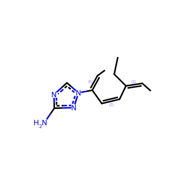 C\C=C(/C=C\C(=C/C)n1cnc(N)n1)CC